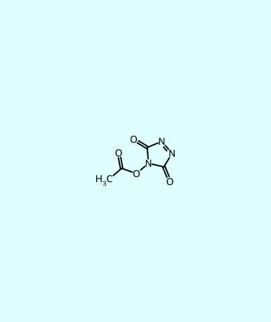 CC(=O)ON1C(=O)N=NC1=O